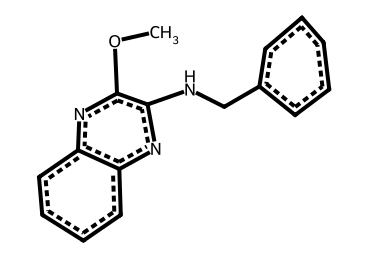 COc1nc2ccccc2nc1NCc1ccccc1